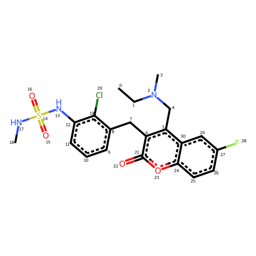 CCN(C)Cc1c(Cc2cccc(NS(=O)(=O)NC)c2Cl)c(=O)oc2c[c]c(F)cc12